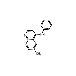 Cc1ccc2nccc(Nc3ccccc3)c2c1